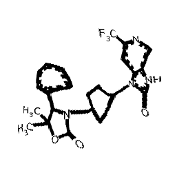 CC1(C)OC(=O)N(C2CCC(n3c(=O)[nH]c4cnc(C(F)(F)F)cc43)CC2)C1c1ccccc1